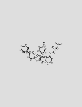 CC(C)OC(=O)CCc1cccc(CN(Cc2ccc(-c3ncccn3)cc2)S(=O)(=O)c2ccc(Cl)cc2)c1